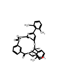 Cc1cccc(C)c1-c1cc2nc(n1)NS(=O)(=O)c1cccc(c1)C(=O)N1Cc3ccccc3[C@@H](O2)[C@H]1CC(C)C